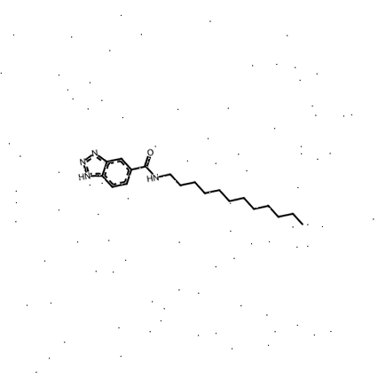 CCCCCCCCCCCCNC(=O)c1ccc2[nH]nnc2c1